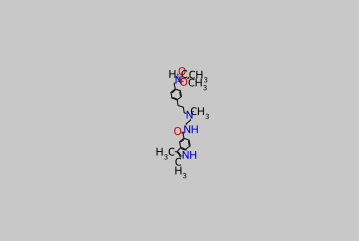 Cc1[nH]c2ccc(C(=O)NCCN(C)CCCc3ccc(CN(C=O)OC(C)(C)C)cc3)cc2c1C